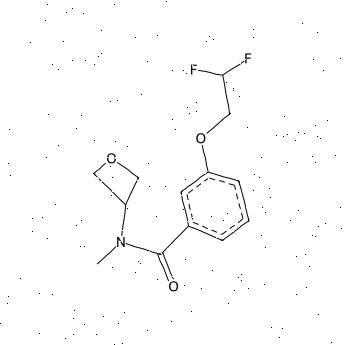 CN(C(=O)c1cccc(OCC(F)F)c1)C1COC1